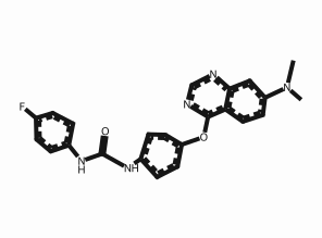 CN(C)c1ccc2c(Oc3ccc(NC(=O)Nc4ccc(F)cc4)cc3)ncnc2c1